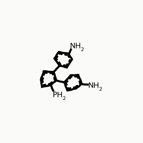 Nc1ccc(-c2cccc(P)c2-c2ccc(N)cc2)cc1